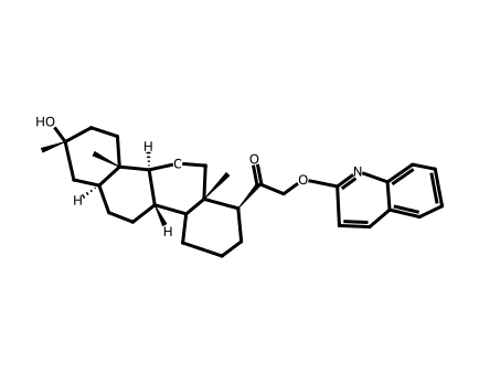 C[C@@]1(O)CC[C@@]2(C)[C@@H](CC[C@H]3C4CCC[C@H](C(=O)COc5ccc6ccccc6n5)[C@@]4(C)CC[C@@H]32)C1